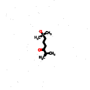 C=C(C)C(=O)CCC[Si](C)(C)[O]